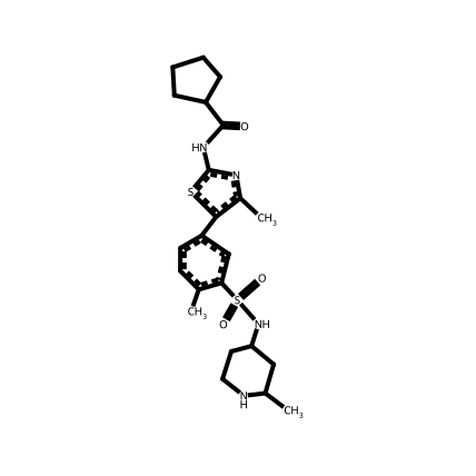 Cc1ccc(-c2sc(NC(=O)C3CCCC3)nc2C)cc1S(=O)(=O)NC1CCNC(C)C1